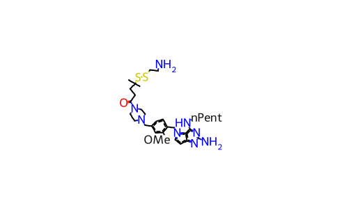 CCCCCNc1nc(N)nc2ccn(Cc3ccc(CN4CCN(C(=O)CCC(C)(C)SSCCN)CC4)cc3OC)c12